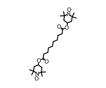 CC1(C)CC(OC(=O)CCCCCCCCC(=O)OC2CC(C)(C)N([O])C(C)(C)C2)CC(C)(C)N1[O]